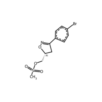 CS(=O)(=O)OC[C@H]1CC(c2ccc(Br)cc2)=NO1